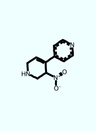 O=[N+]([O-])C1CNCC=C1c1ccncc1